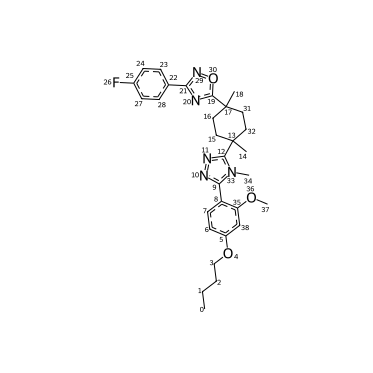 CCCCOc1ccc(-c2nnc(C3(C)CCC(C)(c4nc(-c5ccc(F)cc5)no4)CC3)n2C)c(OC)c1